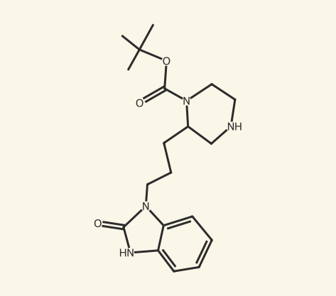 CC(C)(C)OC(=O)N1CCNCC1CCCn1c(=O)[nH]c2ccccc21